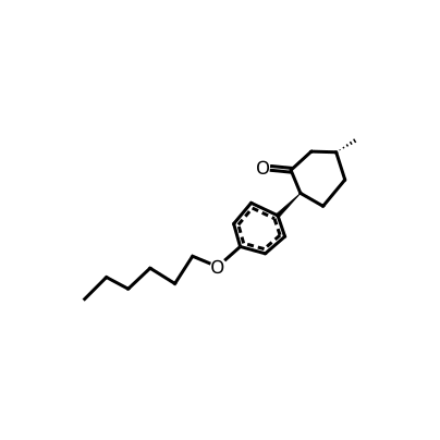 CCCCCCOc1ccc([C@@H]2CC[C@@H](C)CC2=O)cc1